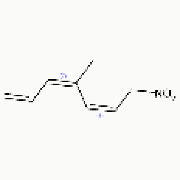 C=C/C=C(C)\C=C/C[N+](=O)[O-]